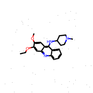 CCOc1cc2nc3ccccc3c(NC3CCN(C)CC3)c2cc1OC